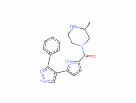 C[C@H]1CN(C(=O)c2ccc(-c3c[nH]nc3-c3ccccc3)[nH]2)CCN1